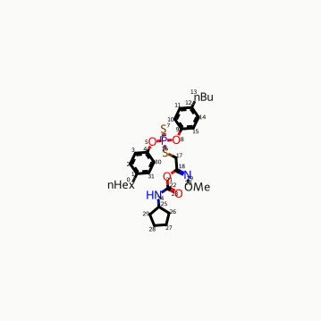 CCCCCCc1ccc(OP(=S)(Oc2ccc(CCCC)cc2)SCC(=NOC)OC(=O)NC2CCCC2)cc1